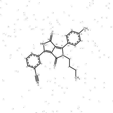 CCCCN1C(=O)C2=C(c3cccc(C#N)c3)NC(=O)C2=C1c1ccc(C)cc1